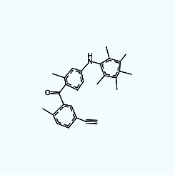 C#Cc1ccc(C)c(C(=O)c2ccc(Nc3c(C)c(C)c(C)c(C)c3C)cc2C)c1